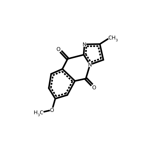 COc1ccc2c(c1)C(=O)n1cc(C)nc1C2=O